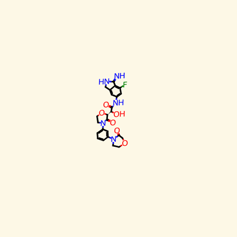 N=C1NCc2cc(NC(=O)C(O)[C@H]3OCCN(c4cccc(N5CCOCC5=O)c4)C3=O)cc(F)c21